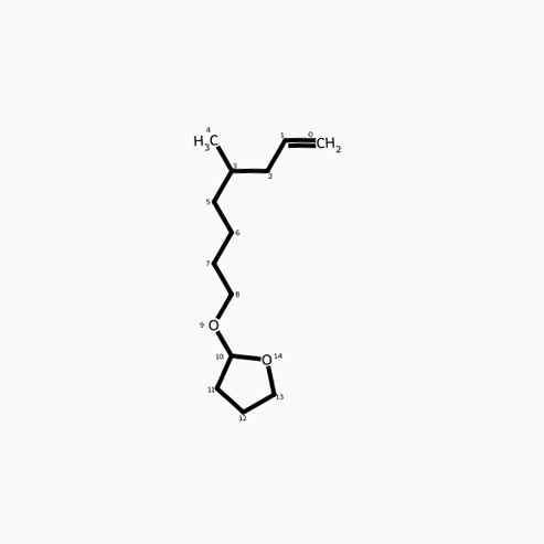 C=CCC(C)CCCCOC1CCCO1